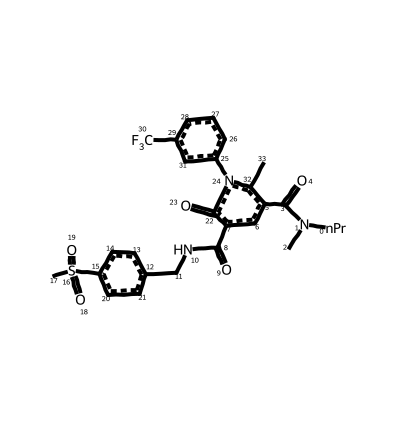 CCCN(C)C(=O)c1cc(C(=O)NCc2ccc(S(C)(=O)=O)cc2)c(=O)n(-c2cccc(C(F)(F)F)c2)c1C